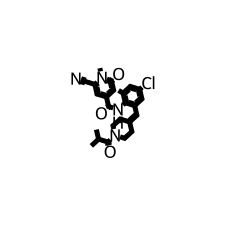 Cc1cc(Cl)cc(C=C2CCN(C(=O)C(C)C)CC2)c1NC(=O)c1cc(C#N)n(C)c(=O)c1